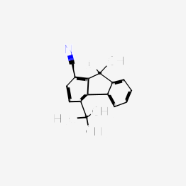 CC(C)(C)c1ccc(C#N)c2c1-c1ccccc1C2(C)C